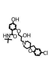 CC(C)(C)NC(=O)c1ccc(O)cc1OC[C@H](O)CN1CCC2(CC1)Cc1cc(Cl)ccc1O2